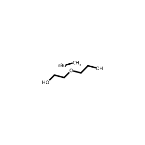 CCCCC.OCCOCCO